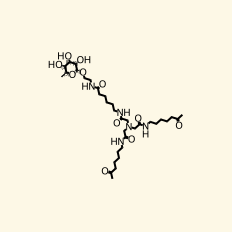 CC(=O)CCCCCNC(=O)CN(CC(=O)NCCCCCC(C)=O)CC(=O)NCCCCCC(=O)NCCO[C@@H]1O[C@@H](C)[C@@H](O)[C@@H](O)[C@@H]1O